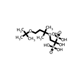 CC(C)(C)OCCC(C)(C)OCC(O)(P(=O)(O)O)P(=O)(O)O